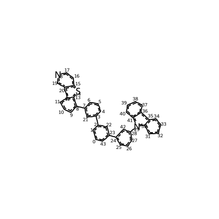 c1cc(-c2cccc(-c3cccc4c3sc3ccncc34)c2)cc(-c2cccc(-n3c4ccccc4c4ccccc43)c2)c1